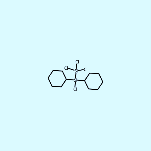 Cl[Si](Cl)(Cl)[Si](Cl)(C1CCCCC1)C1CCCCC1